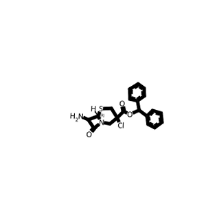 NC1C(=O)N2CC(Cl)(C(=O)OC(c3ccccc3)c3ccccc3)CS[C@H]12